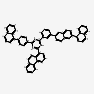 c1cc(-c2ccc3cc(-c4cccc5ccccc45)ccc3c2)cc(-c2nc(-c3ccc(-c4cccc5ccccc45)cc3)nc(-c3cccc4c3ccc3ccccc34)n2)c1